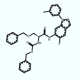 Cc1cccc(-n2ncc3cc(F)c(NC(=O)[C@H](COCc4ccccc4)NC(=O)OCc4ccccc4)cc32)c1